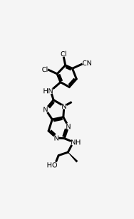 C[C@@H](CO)Nc1ncc2nc(Nc3ccc(C#N)c(Cl)c3Cl)n(C)c2n1